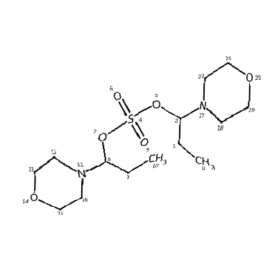 CCC(OS(=O)(=O)OC(CC)N1CCOCC1)N1CCOCC1